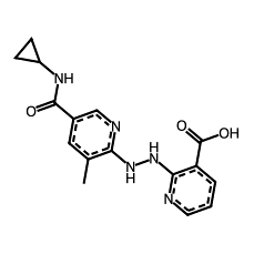 Cc1cc(C(=O)NC2CC2)cnc1NNc1ncccc1C(=O)O